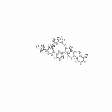 CC1CCCC(N2CCC(c3cccc(Cl)c3F)=CC2=O)c2cc(ccn2)-c2ccc(C(N)=O)cc2NC1=O